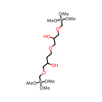 CO[Si](COCC(O)CCOCC(O)COC[Si](OC)(OC)OC)(OC)OC